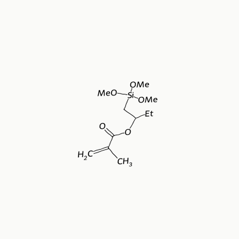 C=C(C)C(=O)OC(CC)C[Si](OC)(OC)OC